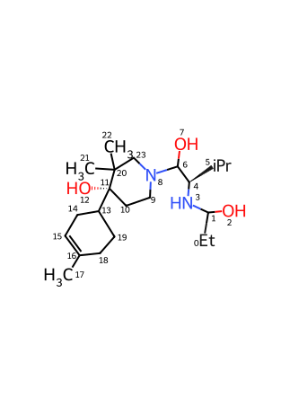 CCC(O)N[C@H](C(C)C)C(O)N1CC[C@@](O)(C2CC=C(C)CC2)C(C)(C)C1